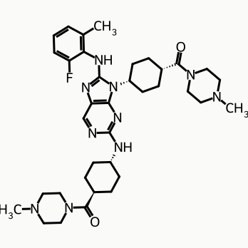 Cc1cccc(F)c1Nc1nc2cnc(N[C@H]3CC[C@H](C(=O)N4CCN(C)CC4)CC3)nc2n1[C@H]1CC[C@@H](C(=O)N2CCN(C)CC2)CC1